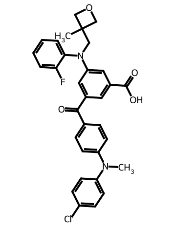 CN(c1ccc(Cl)cc1)c1ccc(C(=O)c2cc(C(=O)O)cc(N(CC3(C)COC3)c3ccccc3F)c2)cc1